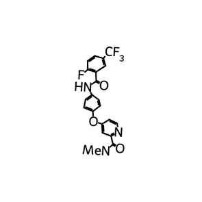 CNC(=O)c1cc(Oc2ccc(NC(=O)c3cc(C(F)(F)F)ccc3F)cc2)ccn1